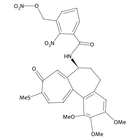 COc1cc2c(c(OC)c1OC)-c1ccc(SC)c(=O)cc1[C@@H](NC(=O)c1cccc(CO[N+](=O)[O-])c1[N+](=O)[O-])CC2